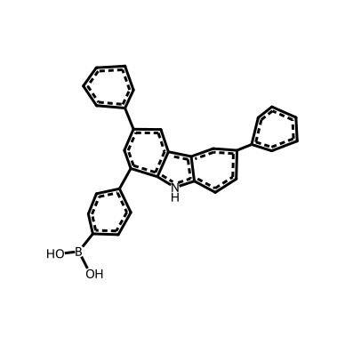 OB(O)c1ccc(-c2cc(-c3ccccc3)cc3c2[nH]c2ccc(-c4ccccc4)cc23)cc1